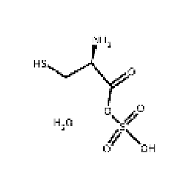 N[C@H](CS)C(=O)OS(=O)(=O)O.O